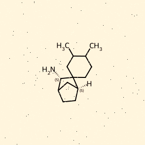 CC1CCC2(CC1C)[C@H]1CCC(C1)[C@@H]2N